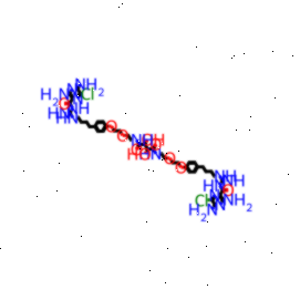 N=C(NCCCCc1ccc(OCCOCCNC(=O)C(O)C(O)C(=O)NCCOCCOc2ccc(CCCCNC(=N)NC(=O)c3nc(Cl)c(N)nc3N)cc2)cc1)NC(=O)c1nc(Cl)c(N)nc1N